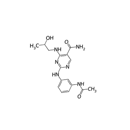 CC(=O)Nc1cccc(Nc2ncc(C(N)=O)c(NCC(C)O)n2)c1